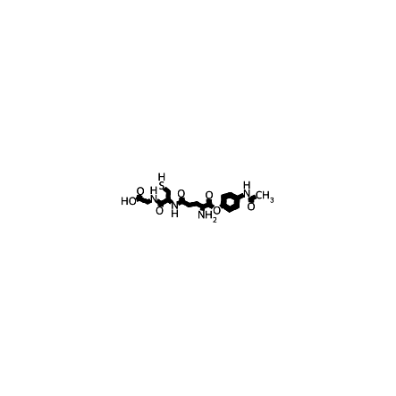 CC(=O)Nc1ccc(OC(=O)C(N)CCC(=O)NC(CS)C(=O)NCC(=O)O)cc1